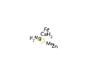 S.[CaH2].[Fe].[MgH2].[Mn].[Zn]